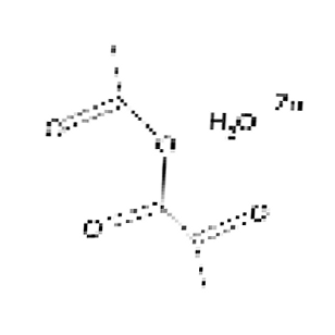 CC(=O)OC(=O)C(C)=O.O.[Zn]